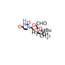 C=CCOCC(OC(C=O)CO[Si](C)(C)C(C)(C)C)n1ccc(=O)[nH]c1=O